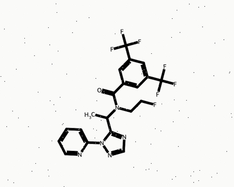 CC(c1ncnn1-c1ccccn1)N(CCF)C(=O)c1cc(C(F)(F)F)cc(C(F)(F)F)c1